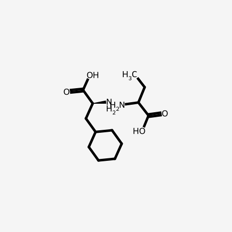 CCC(N)C(=O)O.N[C@@H](CC1CCCCC1)C(=O)O